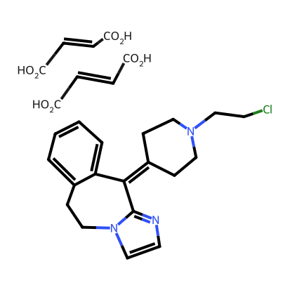 ClCCN1CCC(=C2c3ccccc3CCn3ccnc32)CC1.O=C(O)C=CC(=O)O.O=C(O)C=CC(=O)O